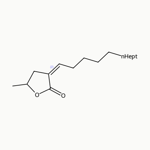 CCCCCCCCCCC/C=C1/CC(C)OC1=O